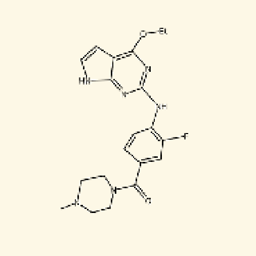 CCOc1nc(Nc2ccc(C(=O)N3CCN(C)CC3)cc2F)nc2[nH]ccc12